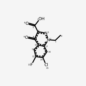 CCn1nc(C(=O)O)c(=O)c2cc(F)c(Cl)cc21